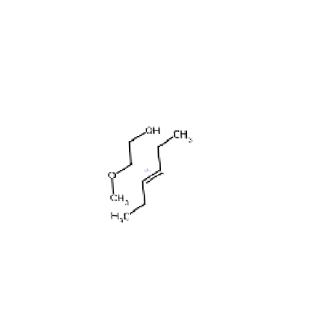 CC/C=C/CC.COCCO